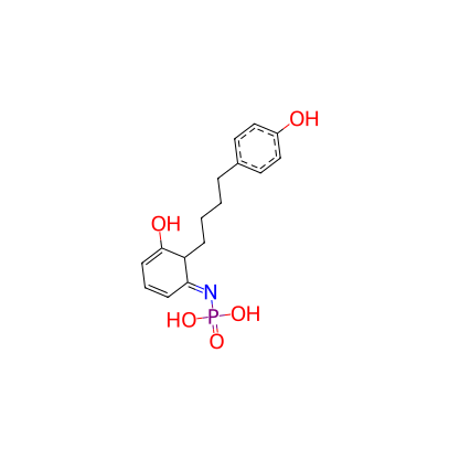 O=P(O)(O)/N=C1\C=CC=C(O)C1CCCCc1ccc(O)cc1